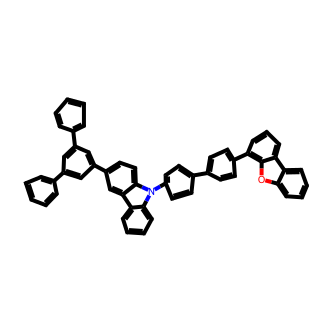 c1ccc(-c2cc(-c3ccccc3)cc(-c3ccc4c(c3)c3ccccc3n4-c3ccc(-c4ccc(-c5cccc6c5oc5ccccc56)cc4)cc3)c2)cc1